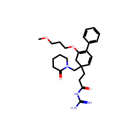 COCCCOC1=C(c2ccccc2)C=CC(CCC(=O)NC(=N)N)(CN2CCCCC2=O)C1